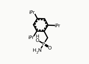 CC(C)c1cc(C(C)C)c(CP(N)(=O)O)c(C(C)C)c1